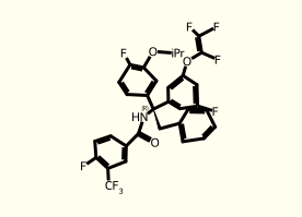 CC(C)Oc1cc([C@@](Cc2ccccc2)(NC(=O)c2ccc(F)c(C(F)(F)F)c2)c2cc(F)cc(OC(F)=C(F)F)c2)ccc1F